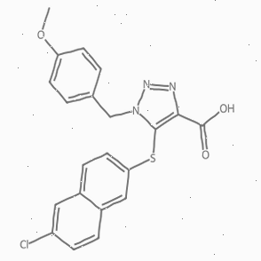 COc1ccc(Cn2nnc(C(=O)O)c2Sc2ccc3cc(Cl)ccc3c2)cc1